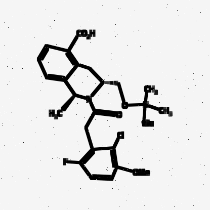 COc1ccc(F)c(CC(=O)N2[C@@H](CO[Si](C)(C)C(C)(C)C)Cc3c(C(=O)O)cccc3[C@@H]2C)c1Cl